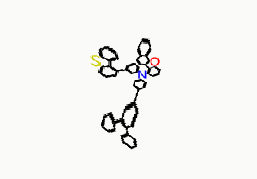 c1ccc(-c2ccc(-c3ccc(N(c4cccc(-c5cccc6sc7ccccc7c56)c4)c4cccc5oc6c7ccccc7ccc6c45)cc3)cc2-c2ccccc2)cc1